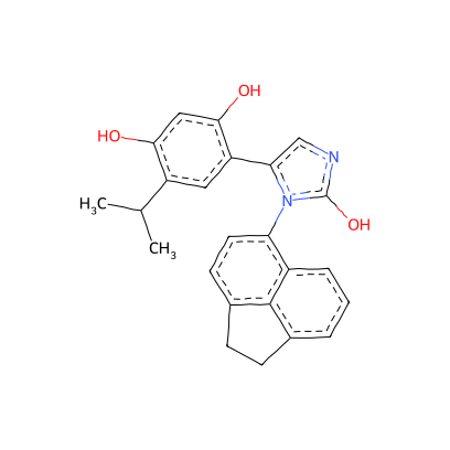 CC(C)c1cc(-c2cnc(O)n2-c2ccc3c4c(cccc24)CC3)c(O)cc1O